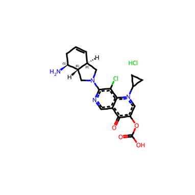 Cl.N[C@H]1CC=C[C@H]2CN(c3ncc4c(=O)c(OC(=O)O)cn(C5CC5)c4c3Cl)C[C@H]12